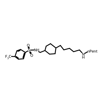 CCCCCNCCCCCC1CCC(CNS(=O)(=O)c2ccc(C(F)(F)F)cc2)CC1